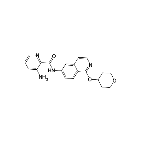 Nc1cccnc1C(=O)Nc1ccc2c(OC3CCOCC3)nccc2c1